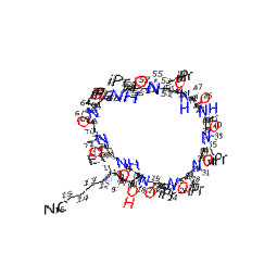 CC[C@H]1NC(=O)[C@H]([C@H](O)[C@H](C)C/C=C/CCCC#N)N(C)C(=O)[C@@H](C(C)C)N(C)C(=O)[C@@H](CC(C)C)N(C)C(=O)[C@@H](CC(C)C)N(C)C(=O)[C@H](C)NC(=O)[C@@H](C)NC(=O)[C@@H](CC(C)C)N(C)C(=O)[C@@H](C(C)C)NC(=O)[C@H](CC(C)C)N(C)C(=O)CN(C)C1=O